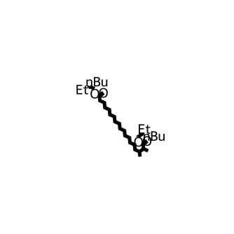 CCCCC(CC)COC(=O)CCCCCCCCCCCCCCCC(C)C(C)C(=O)OCC(CC)CCCC